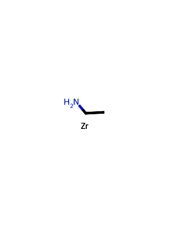 CCN.[Zr]